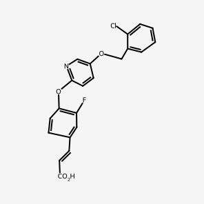 O=C(O)C=Cc1ccc(Oc2ccc(OCc3ccccc3Cl)cn2)c(F)c1